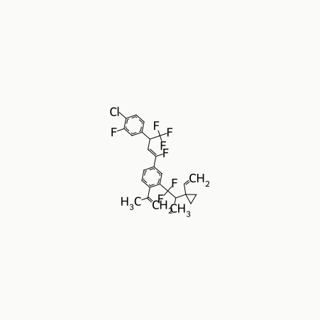 C=CC1(C(C)C(F)(F)c2cc(/C(F)=C/C(c3ccc(Cl)c(F)c3)C(F)(F)F)ccc2C(=C)C)CC1